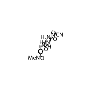 CNC(=O)c1ccc([C@@H](C)N2C(=O)[C@@H]3C[C@H]2CN3C[C@H](N)C(=O)N2CCC[C@H]2C#N)cc1